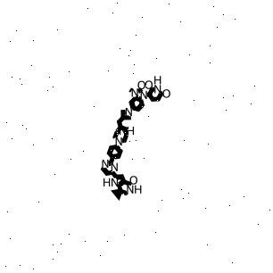 Cn1c(=O)n(C2CCC(=O)NC2=O)c2ccc(N3CC(CC4CC5CN(c6ccc(-c7nccc(-c8cc9c([nH]8)C8(CC8)CNC9=O)n7)cc6)CC4N5)C3)cc21